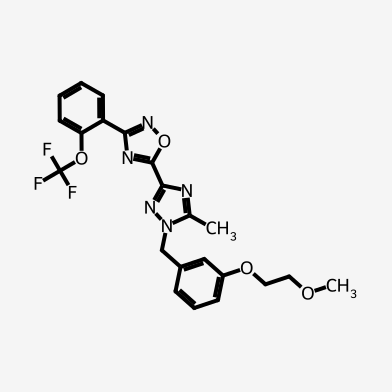 COCCOc1cccc(Cn2nc(-c3nc(-c4ccccc4OC(F)(F)F)no3)nc2C)c1